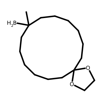 BC1(C)CCCCCCC2(CCCCCC1)OCCO2